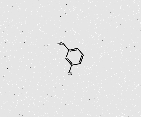 CCC[CH]c1cccc(C#N)c1